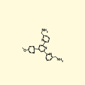 COc1ccc(-c2cc(-c3cccc(CN)n3)nc(-c3cccc(CN)n3)c2)cc1